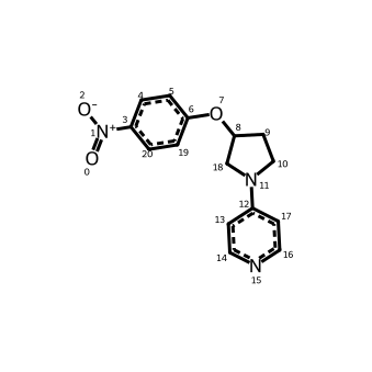 O=[N+]([O-])c1ccc(OC2CCN(c3ccncc3)C2)cc1